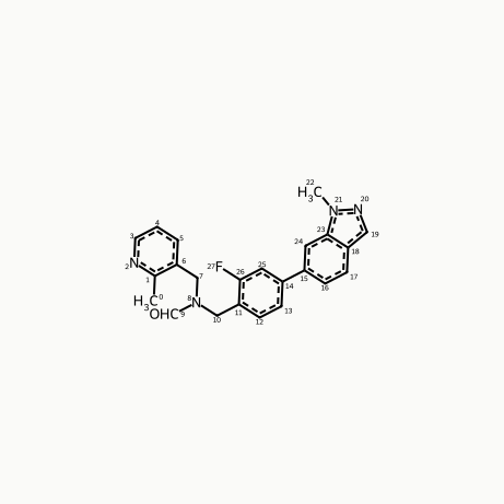 Cc1ncccc1CN(C=O)Cc1ccc(-c2ccc3cnn(C)c3c2)cc1F